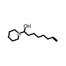 C=CCCCCCC(O)N1CCCCC1